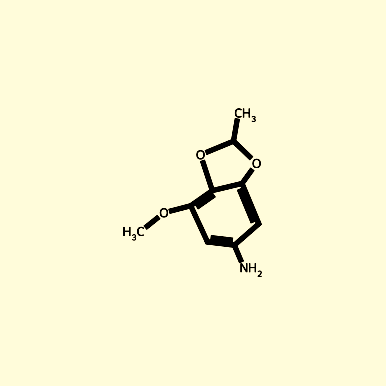 COc1cc(N)cc2c1OC(C)O2